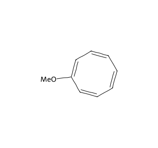 COC1=C/C=C\C=C/C=C\1